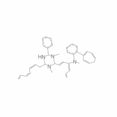 C=C/C=C\C=C/CC1NC(c2ccccc2)N(C)C(/C=C/C(=C\C=C)N(C)c2ccccc2C2=CC=CCC=C2)N1C